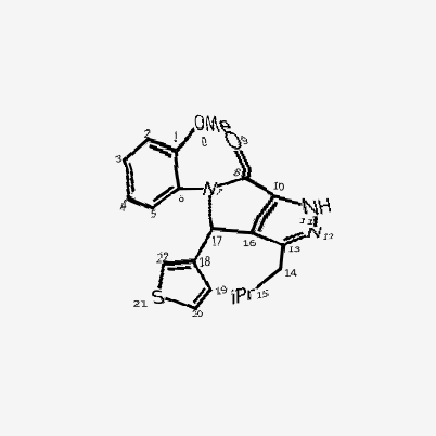 COc1ccccc1N1C(=O)c2[nH]nc(CC(C)C)c2C1c1ccsc1